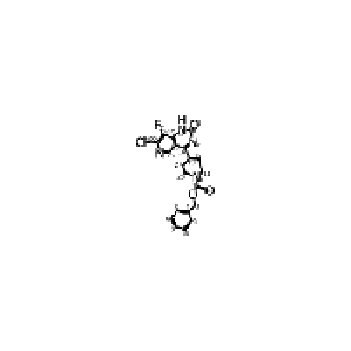 O=C(OCc1ccccc1)N1CCC(c2nc(=O)[nH]c3c(F)c(Cl)ncc23)CC1